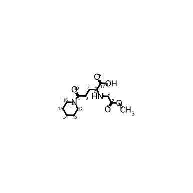 COC(=O)CN[C@@H](CCC(=O)N1CCCCC1)C(=O)O